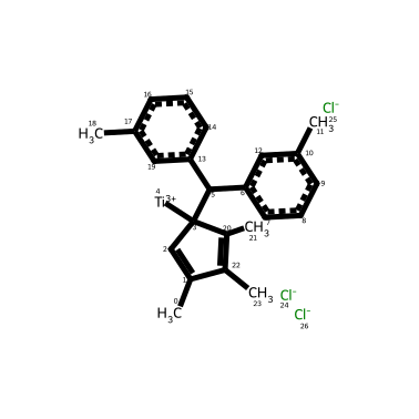 CC1=C[C]([Ti+3])(C(c2cccc(C)c2)c2cccc(C)c2)C(C)=C1C.[Cl-].[Cl-].[Cl-]